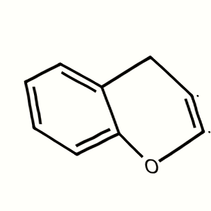 [C]1=[C]Oc2ccccc2C1